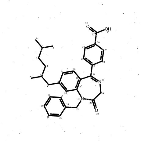 CC(C)CCC(C)Cc1ccc2c(c1)N(Cc1ccccc1)C(=O)CN=C2c1ccc(C(=O)O)cc1